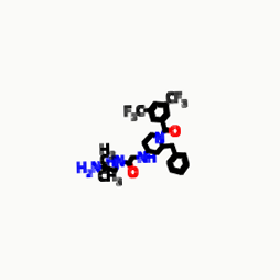 CC(C)(N)CNC(=O)CNC1CCN(C(=O)c2cc(C(F)(F)F)cc(C(F)(F)F)c2)C(Cc2ccccc2)C1